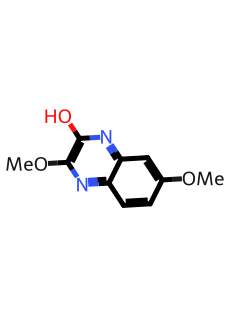 COc1ccc2nc(OC)c(O)nc2c1